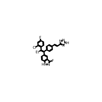 CC/C(=C(/c1ccc(/C=C/c2nn[nH]n2)cc1)c1ccc2[nH]nc(F)c2c1)c1ccc(F)cc1Cl